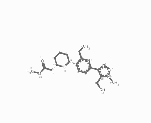 CCc1nc(-c2nnn(C)c2CO)ccc1[C@H]1CCC[C@@H](CC(=O)OC)O1